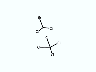 ClC(Cl)(Cl)Cl.ClC(Cl)Br